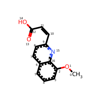 COc1cccc2ccc(/C=C\C(=O)O)nc12